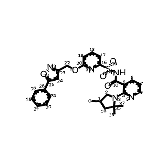 CC1CN(c2ncccc2C(=O)NS(=O)(=O)c2cccc(OCc3cc(-c4ccccc4)on3)n2)C(C)(C)C1